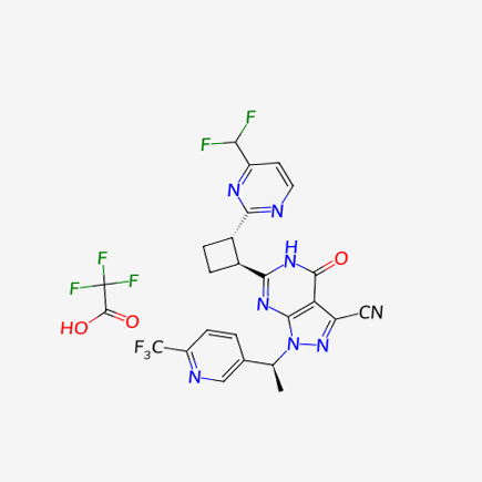 C[C@@H](c1ccc(C(F)(F)F)nc1)n1nc(C#N)c2c(=O)[nH]c([C@H]3CC[C@@H]3c3nccc(C(F)F)n3)nc21.O=C(O)C(F)(F)F